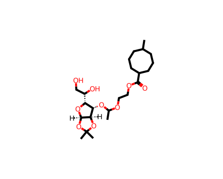 CC1CCCC(C(=O)OCCOC(C)O[C@@H]2[C@H]3OC(C)(C)O[C@H]3O[C@@H]2C(O)CO)CCC1